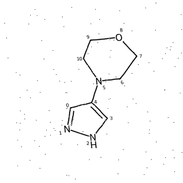 [c]1n[nH]cc1N1CCOCC1